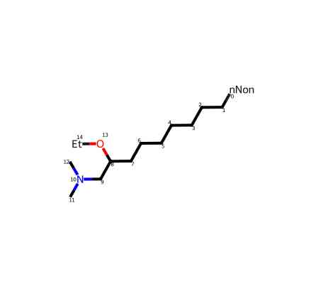 CCCCCCCCCCCCCCCCC(CN(C)C)OCC